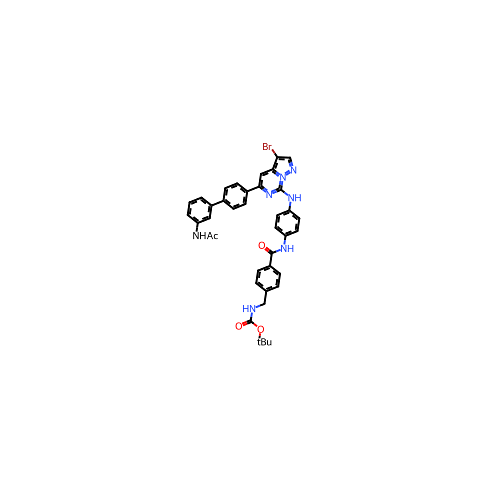 CC(=O)Nc1cccc(-c2ccc(-c3cc4c(Br)cnn4c(Nc4ccc(NC(=O)c5ccc(CNC(=O)OC(C)(C)C)cc5)cc4)n3)cc2)c1